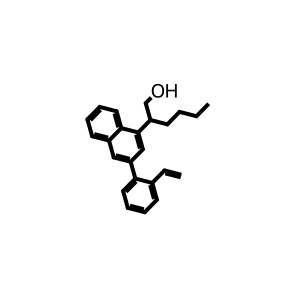 C=Cc1ccccc1-c1cc(C(CO)CCCC)c2ccccc2c1